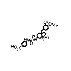 COc1ccc(C[C@@]23CCN[C@H]2CC(=NNC(=O)Nc2ccc(C(=O)O)cc2)CC3)cc1OC